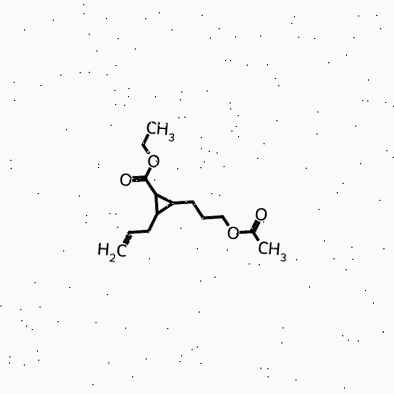 C=CCC1C(CCCOC(C)=O)C1C(=O)OCC